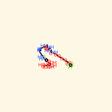 CC(NC(=O)CCCn1cc(CCCCNC(=S)Nc2ccc(O[C@H]3O[C@H](CCP(=O)(O)O)[C@@H](O)[C@H](O)[C@@H]3O)cc2)nn1)C(=O)NC(C)C(=O)NC(C)C(=O)NCCOCCOCCOCCOCCC(=O)Oc1c(F)c(F)c(F)c(F)c1F